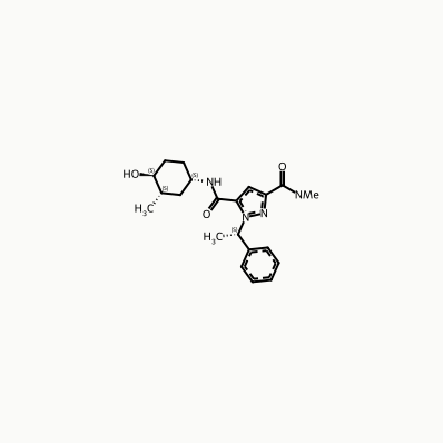 CNC(=O)c1cc(C(=O)N[C@H]2CC[C@H](O)[C@@H](C)C2)n([C@@H](C)c2ccccc2)n1